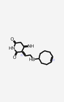 N=C1CC(=O)NC(=O)/C1=C/CBC1CC/C=C\CCC1